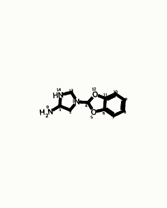 NC1CN(C2Oc3ccccc3O2)CN1